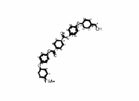 COC1CCC(Oc2ccc(OC(=O)[C@H]3CC[C@H](C(=O)Oc4ccc(OC5CCC(CO)CC5)cc4)CC3)cc2)CC1